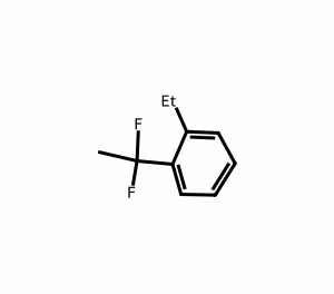 CCc1ccccc1C(C)(F)F